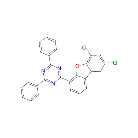 Clc1cc(Cl)c2oc3c(-c4nc(-c5ccccc5)nc(-c5ccccc5)n4)cccc3c2c1